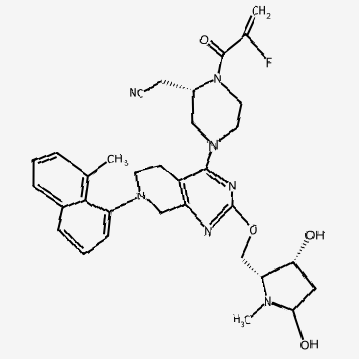 C=C(F)C(=O)N1CCN(c2nc(OC[C@@H]3[C@H](O)CC(O)N3C)nc3c2CCN(c2cccc4cccc(C)c24)C3)C[C@@H]1CC#N